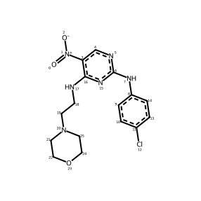 O=[N+]([O-])c1cnc(Nc2ccc(Cl)cc2)nc1NCCN1CCOCC1